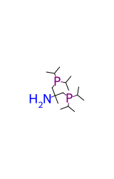 CC(C)P(CC(C)(N)CP(C(C)C)C(C)C)C(C)C